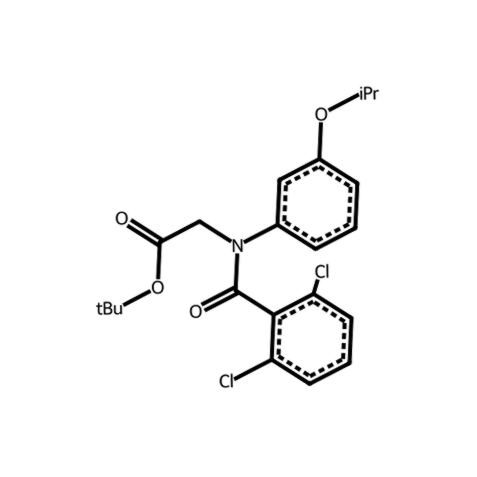 CC(C)Oc1cccc(N(CC(=O)OC(C)(C)C)C(=O)c2c(Cl)cccc2Cl)c1